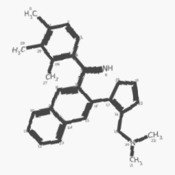 Cc1ccc(C(=N)c2cc3ccccc3cc2C2=C(CN(C)C)C=CC2)c(C)c1C